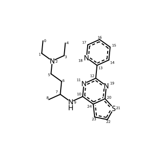 CCN(CC)CCC(C)Nc1nc(-c2ccccn2)nc2sccc12